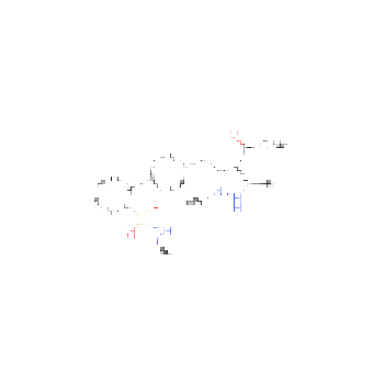 CCCN1NC(CC)=C(C(=O)OC)C1Cc1ccc(-c2ccccc2S(=O)(=O)NC(C)(C)C)cc1